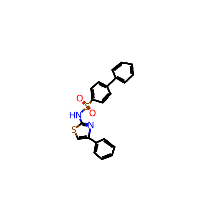 O=S(=O)(Nc1nc(-c2ccccc2)cs1)c1ccc(-c2ccccc2)cc1